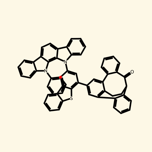 O=C1c2ccccc2-c2cc(-c3cc(-n4c5ccccc5c5ccc6c7ccccc7n(-c7ccccc7)c6c54)cc4c3sc3ccccc34)cc3c2CCC1c1ccccc1-3